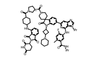 Cc1cc(F)c(Nc2nc(-c3ccc4c(c3)N(C3CC(N5CCCCC5)C3)C(=O)C43CCN(C(=O)[C@@H]4CCN(C(=O)C5CCC(Nc6cccc7c6C(=O)N(C6CCC(=O)NC6=O)C7=O)CC5)C4)CC3)cc3ncn(C(C)C)c23)cc1C(=O)NC(C)C